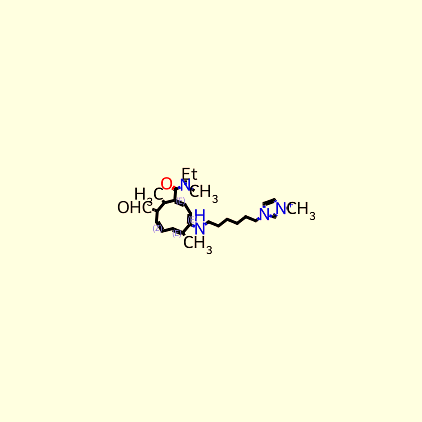 CCN(C)C(=O)/C1=C/C=C(NCCCCCCn2cc[n+](C)c2)\C(C)=C\C=C/C(C=O)C1C